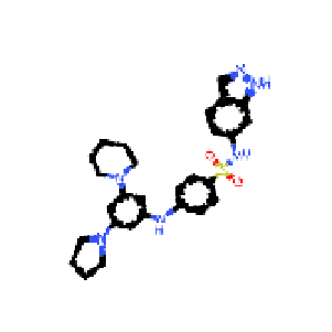 O=S(=O)(Nc1ccc2cn[nH]c2c1)c1ccc(Nc2cc(N3CCCCC3)cc(N3CCCC3)c2)cc1